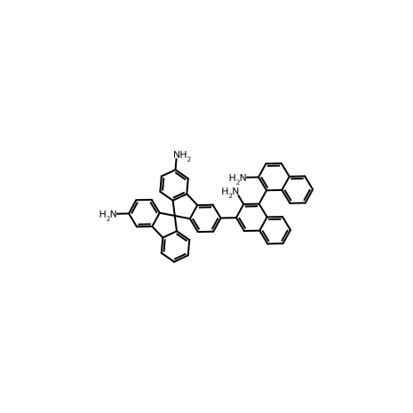 Nc1ccc2c(c1)-c1ccccc1C21c2ccc(N)cc2-c2cc(-c3cc4ccccc4c(-c4c(N)ccc5ccccc45)c3N)ccc21